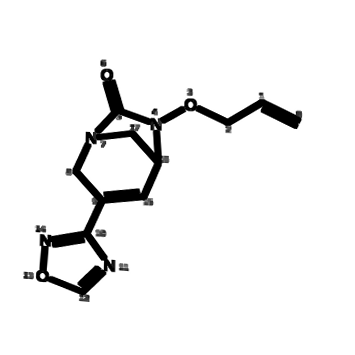 C=CCON1C(=O)N2CC(c3ncon3)=CC1C2